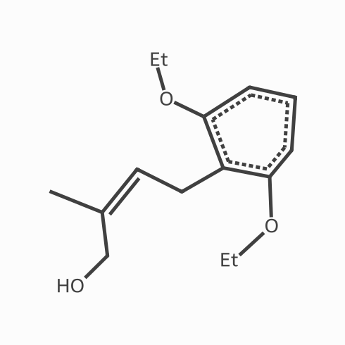 CCOc1cccc(OCC)c1CC=C(C)CO